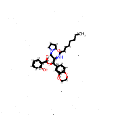 CCCCCCCC(=O)NC(CN1CCCC1)C(OC(=O)c1ccccc1O)c1ccc2c(c1)OCCO2